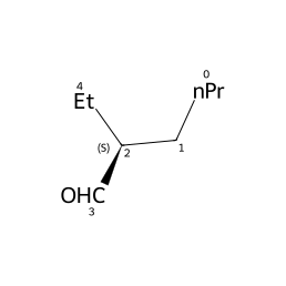 CCCC[C@@H](C=O)CC